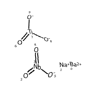 [Ba+2].[Na+].[O]=[Nb](=[O])[O-].[O]=[Ti]([O-])[O-]